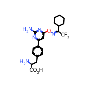 Nc1nc(ON=C(C2CCCCC2)C(F)(F)F)cc(-c2ccc(C[C@H](N)C(=O)O)cc2)n1